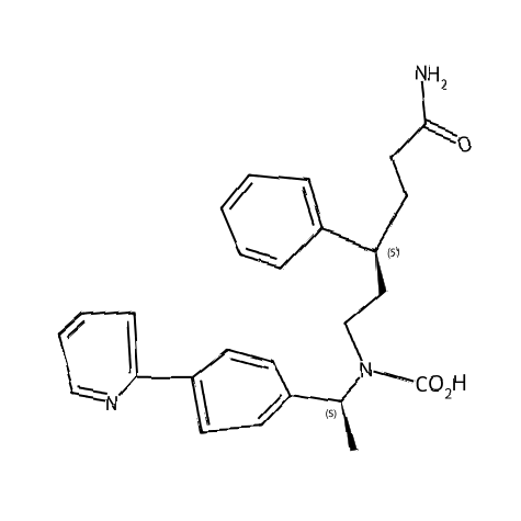 C[C@@H](c1ccc(-c2ccccn2)cc1)N(CC[C@H](CCC(N)=O)c1ccccc1)C(=O)O